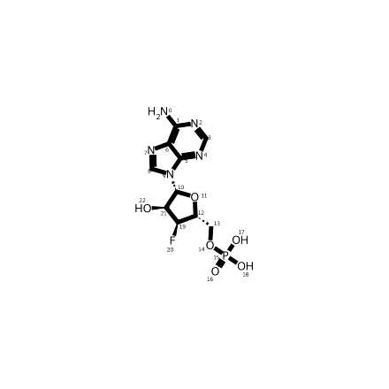 Nc1ncnc2c1ncn2[C@@H]1O[C@H](COP(=O)(O)O)[C@@H](F)[C@H]1O